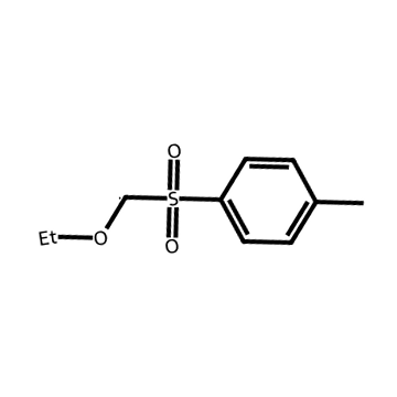 CCO[CH]S(=O)(=O)c1ccc(C)cc1